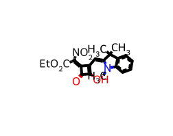 CCOC(=O)/C(=C1\C(=O)C(O)=C1C=C1N(C)c2ccccc2C1(C)C)[N+](=O)[O-]